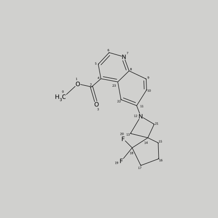 COC(=O)c1ccnc2ccc(N3CC4(CCCC4(F)F)C3)cc12